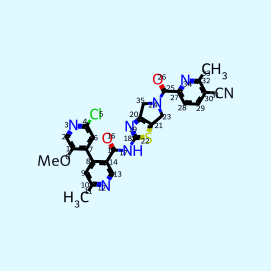 COc1cnc(Cl)cc1-c1cc(C)ncc1C(=O)Nc1nc2c(s1)CN(C(=O)c1ccc(C#N)c(C)n1)C2